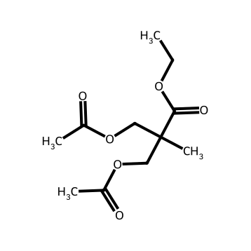 CCOC(=O)C(C)(COC(C)=O)COC(C)=O